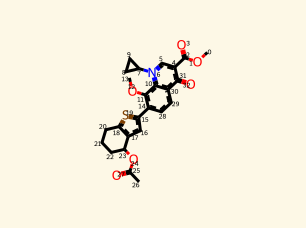 COC(=O)c1cn(C2CC2)c2c(OC)c(-c3cc4c(s3)CCCC4OC(C)=O)ccc2c1=O